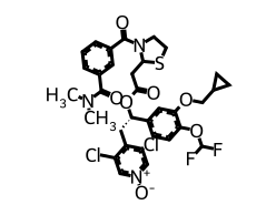 CN(C)C(=O)c1cccc(C(=O)N2CCSC2CC(=O)O[C@@H](Cc2c(Cl)c[n+]([O-])cc2Cl)c2ccc(OC(F)F)c(OCC3CC3)c2)c1